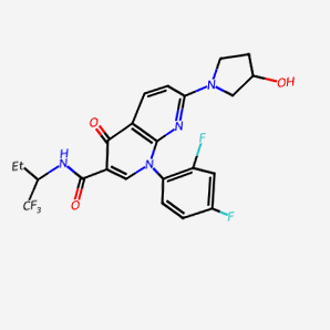 CCC(NC(=O)c1cn(-c2ccc(F)cc2F)c2nc(N3CCC(O)C3)ccc2c1=O)C(F)(F)F